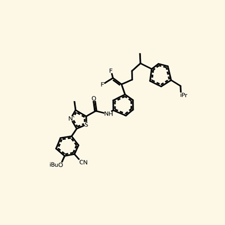 Cc1nc(-c2ccc(OCC(C)C)c(C#N)c2)sc1C(=O)Nc1cccc(C(CCC(C)c2ccc(CC(C)C)cc2)=C(F)F)c1